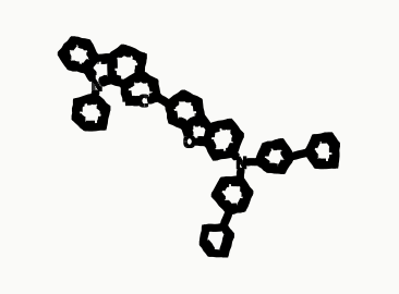 C1=CCC(c2ccc(N(c3ccc(-c4ccccc4)cc3)c3ccc4c(c3)oc3cc(-c5ccc6c(ccc7c8ccccc8n(-c8ccccc8)c67)c5)ccc34)cc2)C=C1